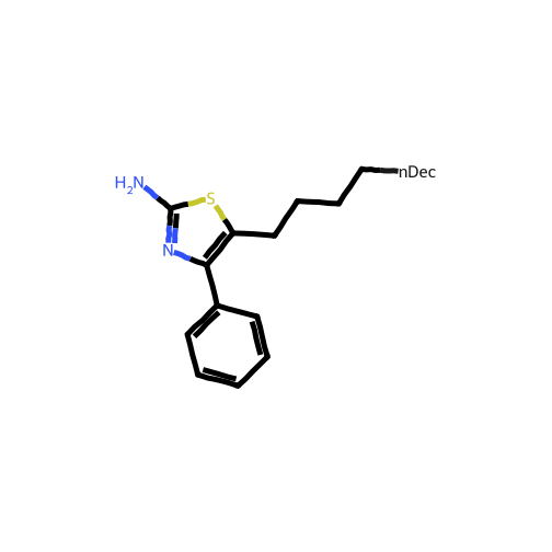 CCCCCCCCCCCCCCc1sc(N)nc1-c1ccccc1